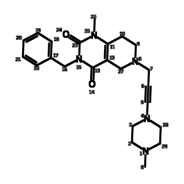 CN1CCN(C#CCN2CCc3c(c(=O)n(Cc4ccccc4)c(=O)n3C)C2)CC1